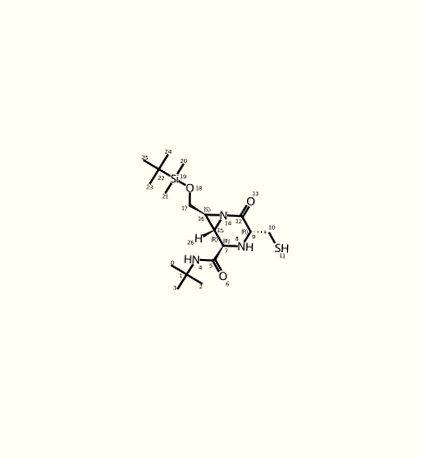 CC(C)(C)NC(=O)[C@@H]1N[C@@H](CS)C(=O)N2[C@H]1[C@H]2CO[Si](C)(C)C(C)(C)C